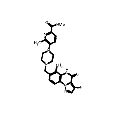 CNC(=O)c1ccc(N2CCN(Cc3ccc4c([nH]c(=O)c5c(F)cnn54)c3C)CC2)c(C)n1